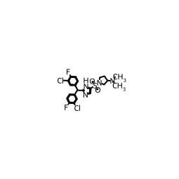 CN(C)C1CCN(S(=O)(=O)c2cnc(C(c3ccc(F)c(Cl)c3)c3ccc(F)c(Cl)c3)[nH]2)C1